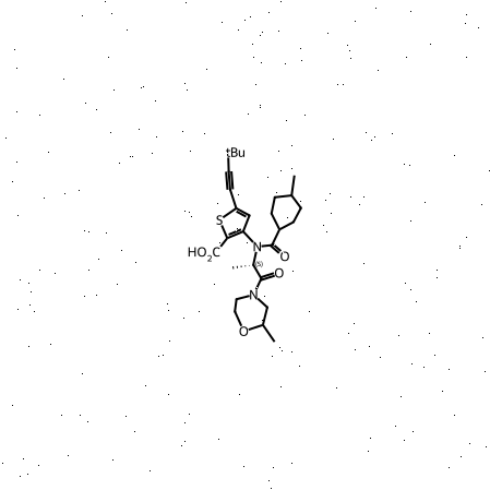 CC1CCC(C(=O)N(c2cc(C#CC(C)(C)C)sc2C(=O)O)[C@@H](C)C(=O)N2CCOC(C)C2)CC1